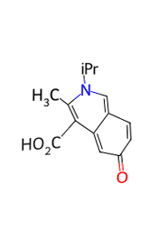 Cc1c(C(=O)O)c2cc(=O)ccc-2cn1C(C)C